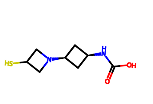 O=C(O)N[C@H]1C[C@@H](N2CC(S)C2)C1